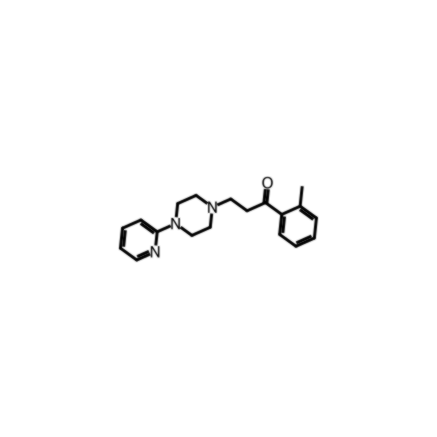 Cc1ccccc1C(=O)CCN1CCN(c2ccccn2)CC1